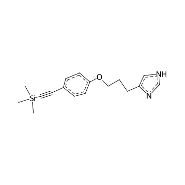 C[Si](C)(C)C#Cc1ccc(OCCCc2c[nH]cn2)cc1